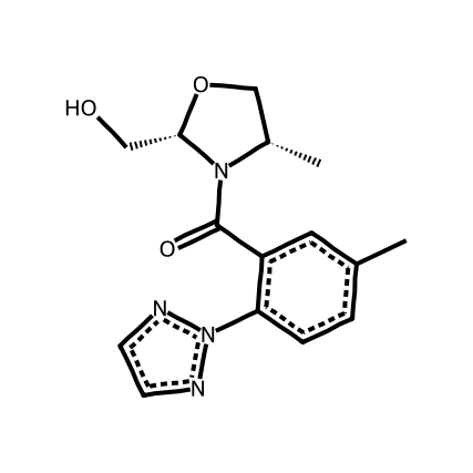 Cc1ccc(-n2nccn2)c(C(=O)N2[C@H](CO)OC[C@@H]2C)c1